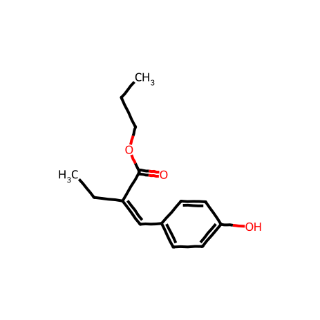 CCCOC(=O)C(=Cc1ccc(O)cc1)CC